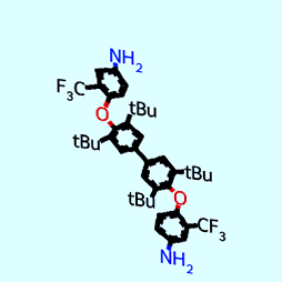 CC(C)(C)c1cc(-c2cc(C(C)(C)C)c(Oc3ccc(N)cc3C(F)(F)F)c(C(C)(C)C)c2)cc(C(C)(C)C)c1Oc1ccc(N)cc1C(F)(F)F